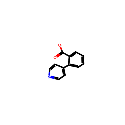 [O]C(=O)c1ccccc1-c1ccncc1